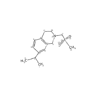 CC(C)c1ccc2c(c1)CN(CS(C)(=O)=O)CC2